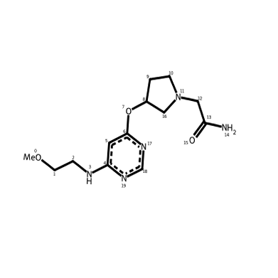 COCCNc1cc(OC2CCN(CC(N)=O)C2)ncn1